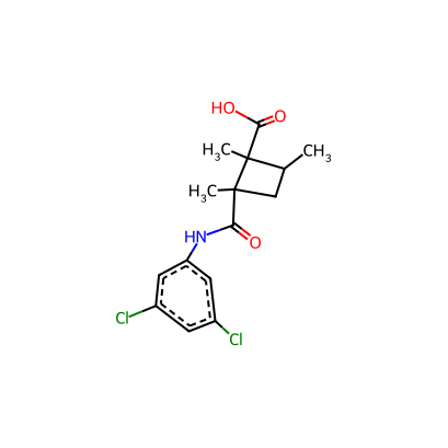 CC1CC(C)(C(=O)Nc2cc(Cl)cc(Cl)c2)C1(C)C(=O)O